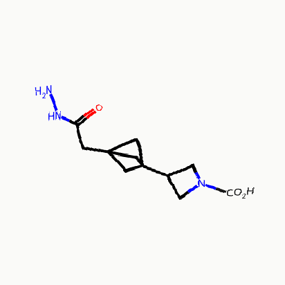 NNC(=O)CC12CC(C3CN(C(=O)O)C3)(C1)C2